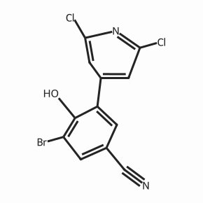 N#Cc1cc(Br)c(O)c(-c2cc(Cl)nc(Cl)c2)c1